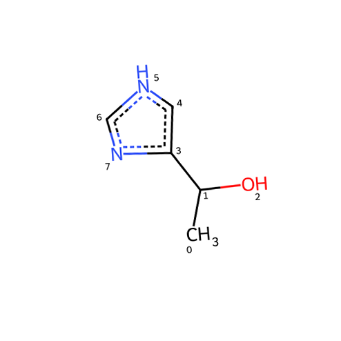 CC(O)c1c[nH]cn1